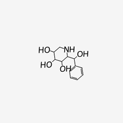 OC1CNC(C(O)c2ccccc2)C(O)C1O